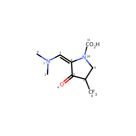 CN(C)/C=C1\C(=O)C(C(F)(F)F)CN1C(=O)O